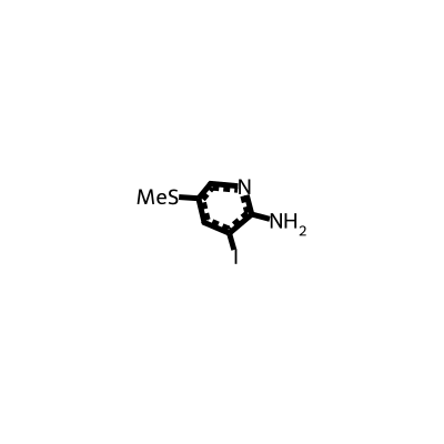 CSc1cnc(N)c(I)c1